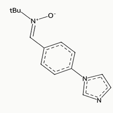 CC(C)(C)[N+]([O-])=Cc1ccc(-n2ccnc2)cc1